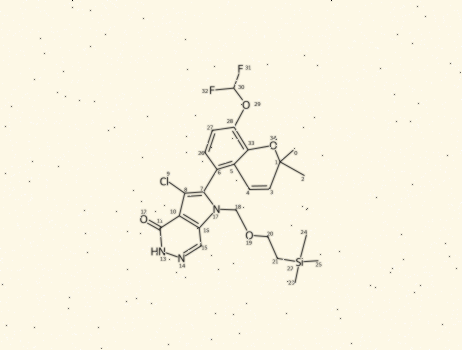 CC1(C)C=Cc2c(-c3c(Cl)c4c(=O)[nH]ncc4n3COCC[Si](C)(C)C)ccc(OC(F)F)c2O1